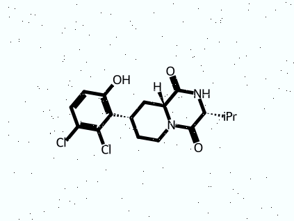 CC(C)[C@H]1NC(=O)[C@H]2C[C@@H](c3c(O)ccc(Cl)c3Cl)CCN2C1=O